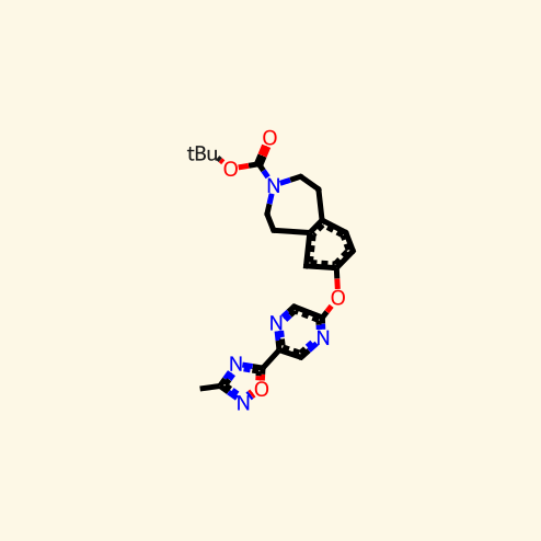 Cc1noc(-c2cnc(Oc3ccc4c(c3)CCN(C(=O)OC(C)(C)C)CC4)cn2)n1